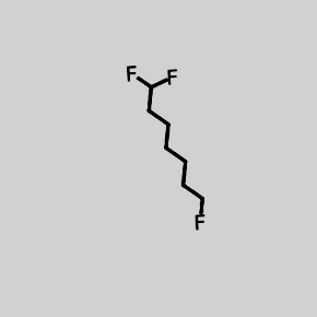 FCCCCCCC(F)F